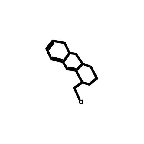 ClCC1CCCC2CC3CC=CC=C3C=C12